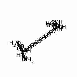 NS(=O)(=O)c1ccc(NC(=O)CN(CCN2CC(=O)N(c3ccc(S(N)(=O)=O)cc3)C(=O)C2)CC(=O)NCCOCCOCCOCCOCCOCCOCCOCCOCCOCCOCCOCCOCCC(=O)N[C@@H](CC(=O)O)C(=O)N[C@@H](CC(=O)O)C(=O)N[C@@H](CS)C(=O)O)cc1